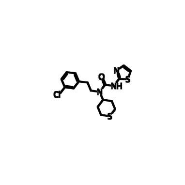 O=C(Nc1nccs1)N(CCc1cccc(Cl)c1)C1CCSCC1